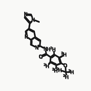 [2H]c1c([2H])c(C(=O)Nc2cc3cc(-c4cncn4C)cnc3cn2)c([2H])c([2H])c1OC([2H])([2H])[2H]